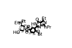 CCCc1nc(CC)c2c(=O)[nH]c(-c3cc(S(=O)(=O)N(CCO)CCN(CC)CC)ccc3OCC)nn12